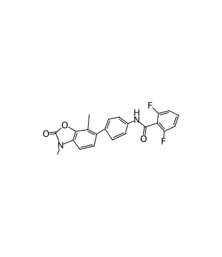 Cc1c(-c2ccc(NC(=O)c3c(F)cccc3F)cc2)ccc2c1oc(=O)n2C